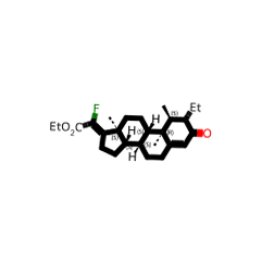 CCOC(=O)C(F)=C1CC[C@H]2[C@@H]3CCC4=CC(=O)C(CC)[C@H](C)[C@]4(C)[C@H]3CC[C@]12C